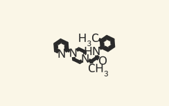 Cc1ccccc1NC(=O)C(C)N1CCN(c2ccccn2)CC1